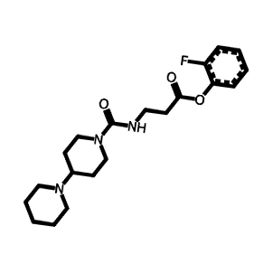 O=C(CCNC(=O)N1CCC(N2CCCCC2)CC1)Oc1ccccc1F